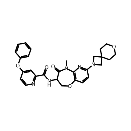 CN1C(=O)C(NC(=O)c2cc(Oc3ccccc3)ccn2)COc2ccc(N3CC4(CCOCC4)C3)nc21